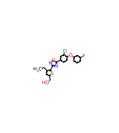 CCc1cc(CO)sc1-c1noc(-c2ccc(Oc3cccc(F)c3)c(Cl)c2)n1